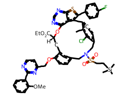 CCOC(=O)[C@H]1Cc2cc(ccc2OCc2ccnc(-c3ccccc3OC)n2)CN(S(=O)(=O)CC[Si](C)(C)C)Cc2ccc(c(C)c2Cl)-c2c(-c3ccc(F)cc3)sc3ncnc(c23)O1